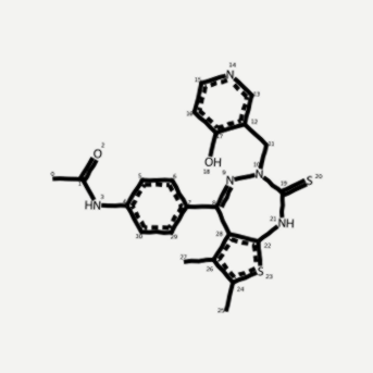 CC(=O)Nc1ccc(C2=NN(Cc3cnccc3O)C(=S)Nc3sc(C)c(C)c32)cc1